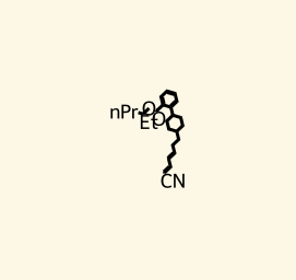 CCCC(CC)OC(=O)c1ccccc1C1CCC(CC/C=C/C=CC#N)CC1